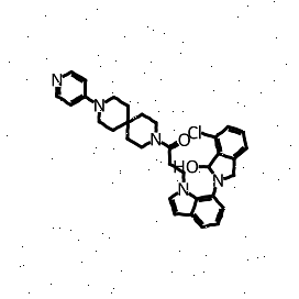 O=C(CCn1ccc2cccc(N3Cc4cccc(Cl)c4C3O)c21)N1CCC2(CC1)CCN(c1ccncc1)CC2